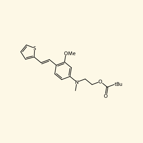 COc1cc(N(C)CCOC(=O)C(C)(C)C)ccc1/C=C/c1cccs1